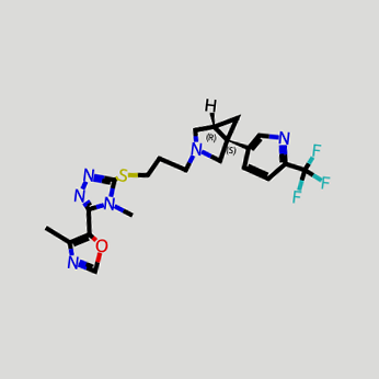 Cc1ncoc1-c1nnc(SCCCN2C[C@@H]3C[C@]3(c3ccc(C(F)(F)F)nc3)C2)n1C